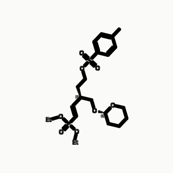 CCOP(=O)(C=C[C@@H](CCOS(=O)(=O)c1ccc(C)cc1)CO[C@H]1CCCCO1)OCC